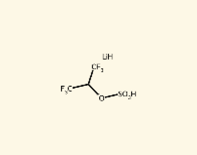 O=S(=O)(O)OC(C(F)(F)F)C(F)(F)F.[LiH]